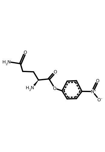 NC(=O)CC[C@H](N)C(=O)Oc1ccc([N+](=O)[O-])cc1